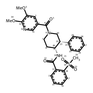 COc1cc(C(=O)N2CC[C@@H](NC(=O)c3ccccc3S(C)(=O)=O)[C@@H](c3ccccc3)C2)cnc1OC